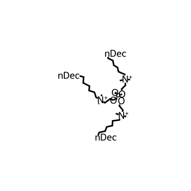 CCCCCCCCCCCCCCCC[N+](C)(C)CCOP(=O)(OCC[N+](C)(C)CCCCCCCCCCCCCCCC)OCC[N+](C)(C)CCCCCCCCCCCCCCCC